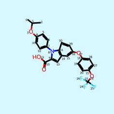 CC(C)Oc1ccc(-n2c(C(=O)O)cc3cc(Oc4ccc(OC(F)(F)F)cc4)ccc32)cc1